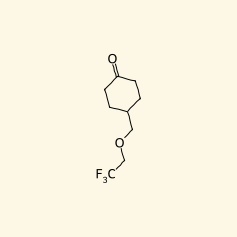 O=C1CCC(COCC(F)(F)F)CC1